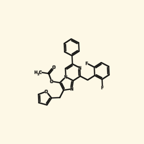 CC(=O)Oc1c(Cc2ccco2)nc2c(Cc3c(F)cccc3F)nc(-c3ccccc3)cn12